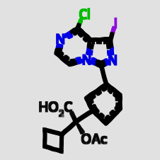 CC(=O)O[C@@](C(=O)O)(c1cccc(-c2nc(I)c3c(Cl)nccn23)c1)C1CCC1